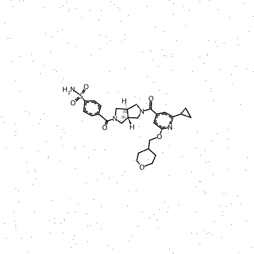 NS(=O)(=O)c1ccc(C(=O)N2C[C@H]3CN(C(=O)c4cc(OCC5CCOCC5)nc(C5CC5)c4)C[C@@H]3C2)cc1